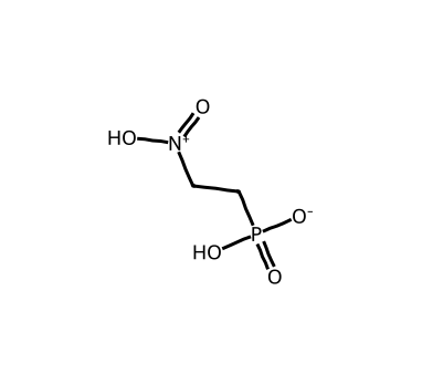 O=[N+](O)CCP(=O)([O-])O